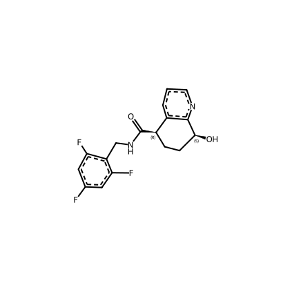 O=C(NCc1c(F)cc(F)cc1F)[C@@H]1CC[C@H](O)c2ncccc21